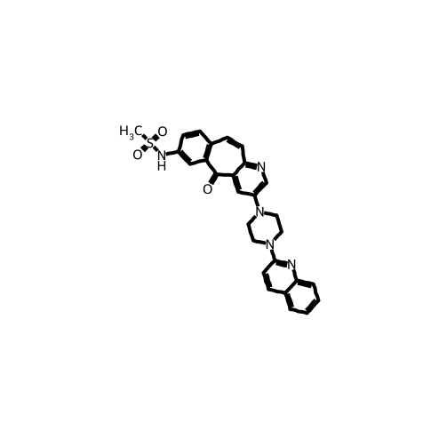 CS(=O)(=O)Nc1ccc2ccc3ncc(N4CCN(c5ccc6ccccc6n5)CC4)cc3c(=O)c2c1